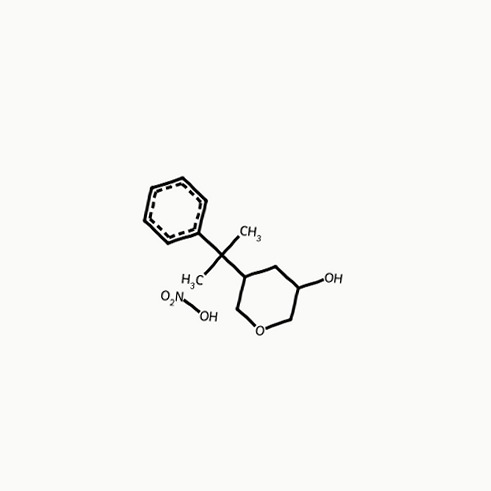 CC(C)(c1ccccc1)C1COCC(O)C1.O=[N+]([O-])O